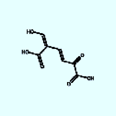 O=C(O)C(=O)/C=C/C(=C/O)C(=O)O